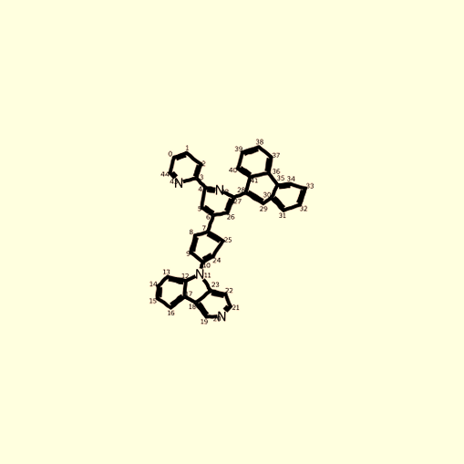 c1ccc(-c2cc(-c3ccc(-n4c5ccccc5c5cnccc54)cc3)cc(-c3cc4ccccc4c4ccccc34)n2)nc1